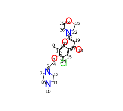 Cc1c(OCCN2CCN(C)CC2)c(Cl)cc2c(=O)cc(N3CCOCC3)oc12